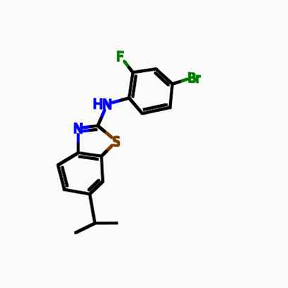 CC(C)c1ccc2nc(Nc3ccc(Br)cc3F)sc2c1